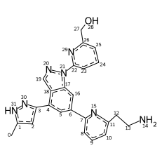 Cc1cc(-c2cc(-c3cccc(CCN)n3)cc3c2cnn3-c2cccc(CO)n2)n[nH]1